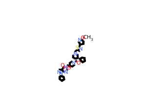 COc1ccc(-c2ncc(CN3CC[C@@H](C(=O)N4CCC(O)(Cn5cnc6c(cnn6-c6ccccc6)c5=O)CC4)[C@H](c4ccccc4)C3)s2)cn1